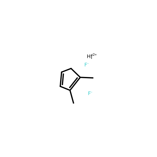 CC1=C(C)CC=C1.[F-].[F-].[Hf+2]